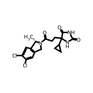 C[C@H]1c2cc(Cl)c(Cl)cc2CN1C(=O)CCC1(C2CC2)NC(=O)NC1=O